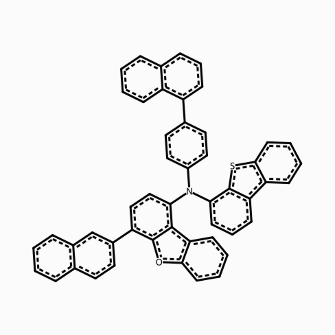 c1ccc2cc(-c3ccc(N(c4ccc(-c5cccc6ccccc56)cc4)c4cccc5c4sc4ccccc45)c4c3oc3ccccc34)ccc2c1